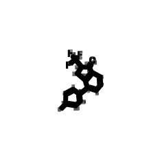 Cc1ccc(-c2cccc3c2CC(C(F)(F)F)C3=O)cc1